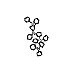 c1ccc(N(c2ccccc2)c2cccc([Si](c3ccccc3)(c3ccccc3)c3cccc(N(c4ccccc4)c4ccc5c(c4)c4ccccc4n5-c4ccccc4)c3)c2)cc1